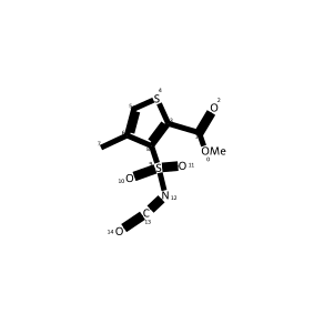 COC(=O)c1scc(C)c1S(=O)(=O)N=C=O